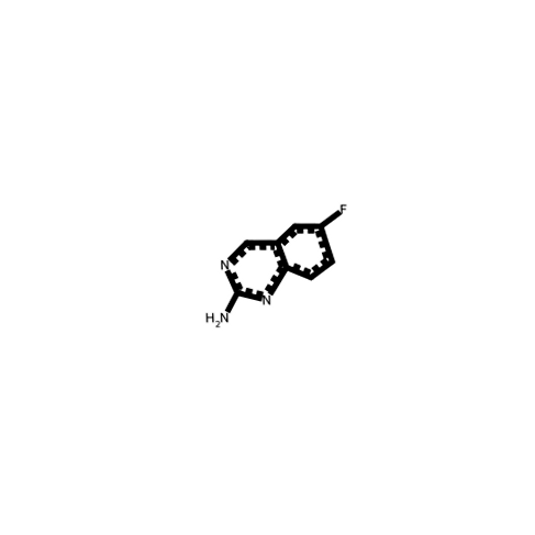 Nc1ncc2cc(F)ccc2n1